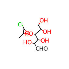 CC1OC1Cl.O=CC(O)C(O)C(O)C(O)CO